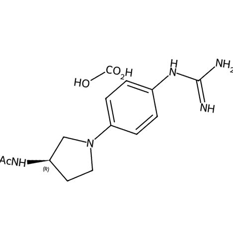 CC(=O)N[C@@H]1CCN(c2ccc(NC(=N)N)cc2)C1.O=C(O)O